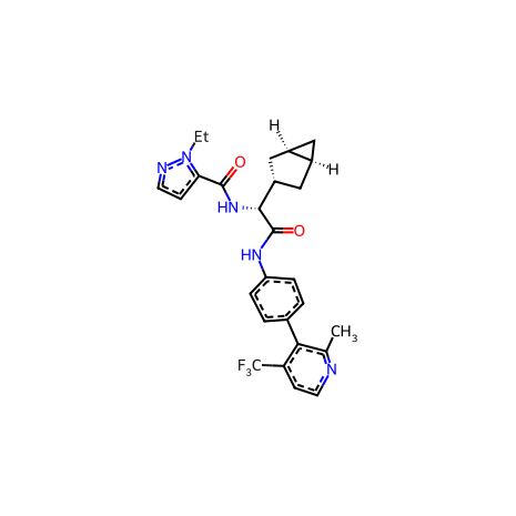 CCn1nccc1C(=O)N[C@@H](C(=O)Nc1ccc(-c2c(C(F)(F)F)ccnc2C)cc1)[C@@H]1C[C@H]2C[C@H]2C1